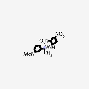 CNc1cccc(/C(C)=N/Nc2ccc([N+](=O)[O-])cc2[N+](=O)[O-])c1